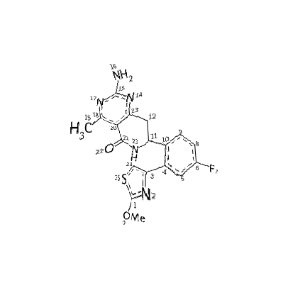 COc1nc(-c2cc(F)ccc2C2Cc3nc(N)nc(C)c3C(=O)N2)cs1